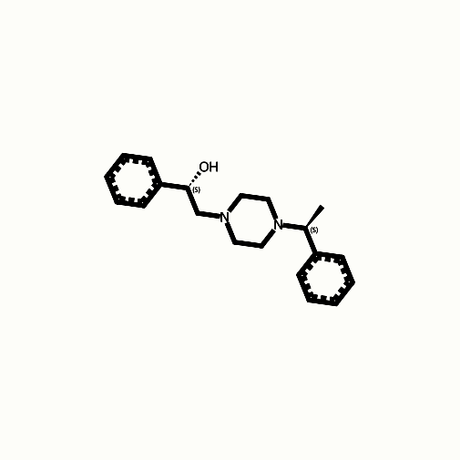 C[C@@H](c1ccccc1)N1CCN(C[C@@H](O)c2ccccc2)CC1